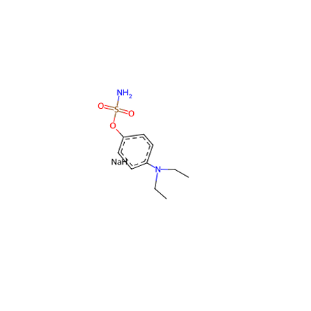 CCN(CC)c1ccc(OS(N)(=O)=O)cc1.[NaH]